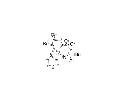 CCCCC1(CC)CS(=O)(=O)c2cc(O)c(Br)cc2C(C2=CCCCC2)=N1